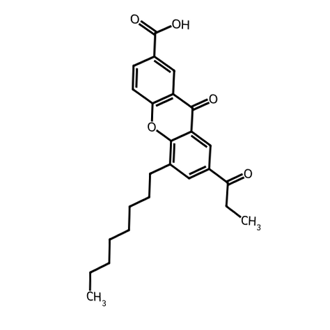 CCCCCCCCc1cc(C(=O)CC)cc2c(=O)c3cc(C(=O)O)ccc3oc12